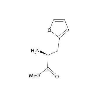 COC(=O)[C@@H](N)Cc1ccco1